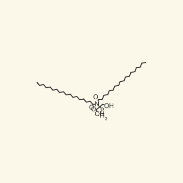 CCCCCCCCCCCCCCCCCC(=O)N(C(=O)CCCCCCCCCCCCCCCCC)C(P)(CO)C(=O)O